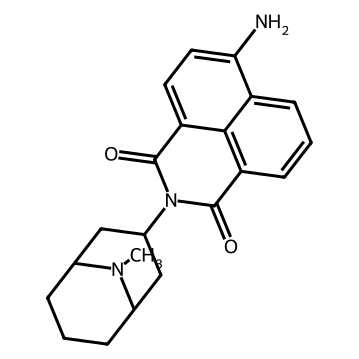 CN1C2CCCC1CC(N1C(=O)c3cccc4c(N)ccc(c34)C1=O)C2